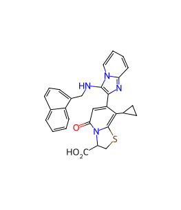 O=C(O)C1CSc2c(C3CC3)c(-c3nc4ccccn4c3NCc3cccc4ccccc34)cc(=O)n21